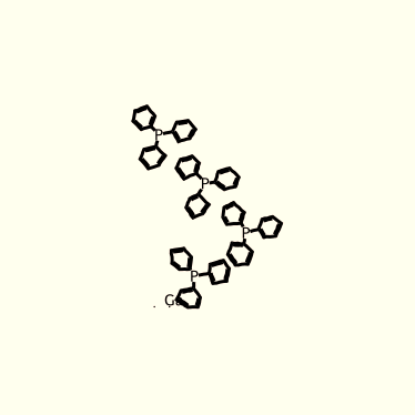 [Ga].c1ccc(P(c2ccccc2)c2ccccc2)cc1.c1ccc(P(c2ccccc2)c2ccccc2)cc1.c1ccc(P(c2ccccc2)c2ccccc2)cc1.c1ccc(P(c2ccccc2)c2ccccc2)cc1